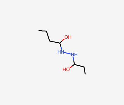 CCCC(O)NNC(O)CC